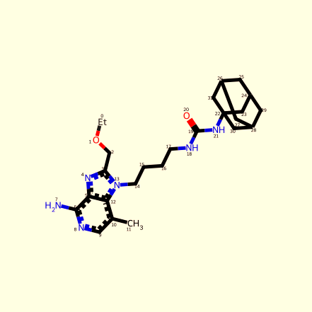 CCOCc1nc2c(N)ncc(C)c2n1CCCCNC(=O)NC12CC3CC(CC(C3)C1)C2